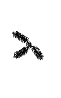 O=P(OCCC(F)(F)C(F)(F)C(F)(F)C(F)(F)C(F)(F)C(F)(F)C(F)(F)C(F)(F)F)(OCCC(F)(F)C(F)(F)C(F)(F)C(F)(F)C(F)(F)C(F)(F)C(F)(F)C(F)(F)F)OCCC(F)(F)C(F)(F)C(F)(F)C(F)(F)C(F)(F)C(F)(F)C(F)(F)C(F)(F)F